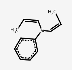 C/C=C\[Si](/C=C\C)c1ccccc1